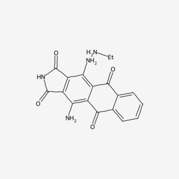 CCN.Nc1c2c(=O)[nH]c(=O)c2c(N)c2c(=O)c3ccccc3c(=O)c12